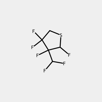 FC(F)C1(F)C(F)SCC1(F)F